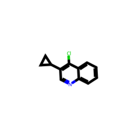 Clc1c(C2CC2)cnc2ccccc12